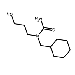 NC(=O)N(CCCO)CC1CCCCC1